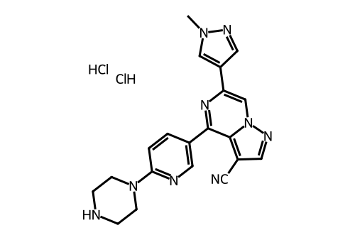 Cl.Cl.Cn1cc(-c2cn3ncc(C#N)c3c(-c3ccc(N4CCNCC4)nc3)n2)cn1